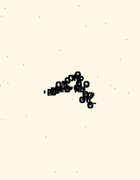 [Mn+2].[O]=[Nb](=[O])[O-].[O]=[Nb](=[O])[O-].[O]=[Ti]([O-])[O-].[O]=[Ti]([O-])[O-].[Pb+2].[Pb+2]